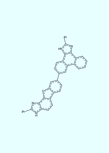 CC(C)c1nc2c(ccc3c4ccc(-c5ccc6c(c5)c5ccccc5c5nc(C(C)C)[nH]c65)cc4sc32)[nH]1